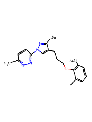 CC(=O)Oc1cccc(C)c1OCCCc1cn(-c2ccc(C(F)(F)F)nn2)nc1C(C)(C)C